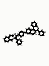 c1ccc(-c2nc3ccccc3c3c2ccc2cc(-c4ccc(-c5nc6cc7ccccc7cn6c5-c5ccccn5)cc4)ccc23)cc1